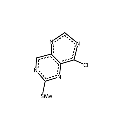 CSc1ncc2ncnc(Cl)c2n1